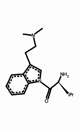 CC(C)[C@H](N)C(=O)n1cc(CCN(C)C)c2ccccc21